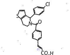 O=C(O)/C=C/c1ccc(C(=O)N2CCc3sccc3C2c2ccc(Cl)cc2)cc1